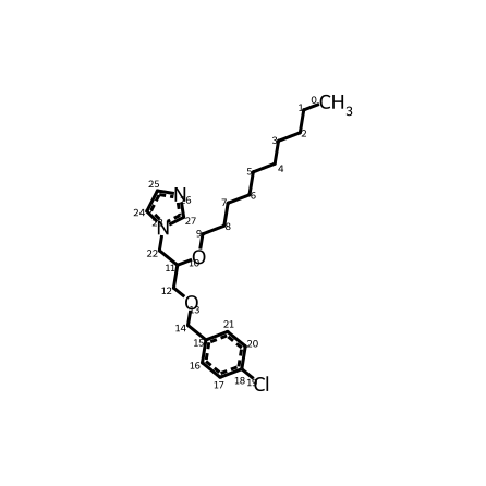 CCCCCCCCCCOC(COCc1ccc(Cl)cc1)Cn1ccnc1